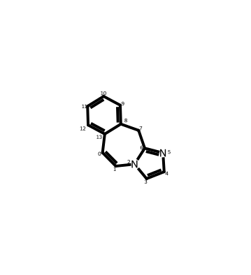 C1=Cn2ccnc2Cc2ccccc21